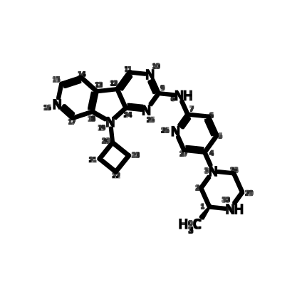 C[C@H]1CN(c2ccc(Nc3ncc4c5ccncc5n(C5CCC5)c4n3)nc2)CCN1